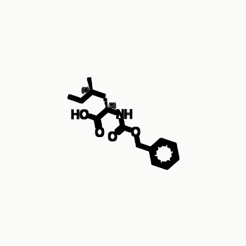 CC[C@@H](C)C[C@H](NC(=O)OCc1ccccc1)C(=O)O